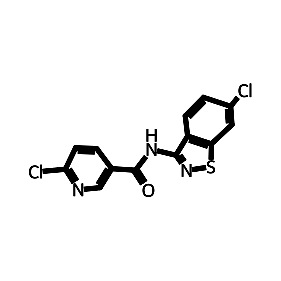 O=C(Nc1nsc2cc(Cl)ccc12)c1ccc(Cl)nc1